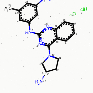 Cl.Cl.Nc1cc(Nc2nc(N3CC[C@H](N)C3)c3ccccc3n2)cc(C(F)(F)F)c1